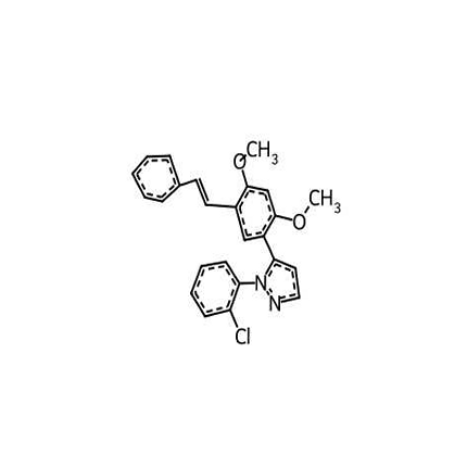 COc1cc(OC)c(-c2ccnn2-c2ccccc2Cl)cc1/C=C/c1ccccc1